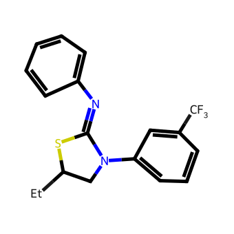 CCC1CN(c2cccc(C(F)(F)F)c2)C(=Nc2ccccc2)S1